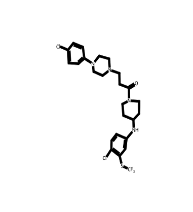 O=C(CCN1CCN(c2ccc(Cl)cc2)CC1)N1CCC(Nc2ccc(Cl)c(SC(F)(F)F)c2)CC1